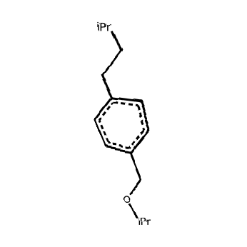 CC(C)CCc1ccc(COC(C)C)cc1